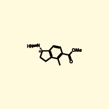 COC(=O)c1ccc2c(c1C)CC[C@@H]2N=N